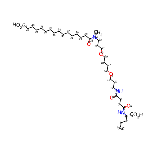 CC(=O)CC[C@H](NC(=O)CCC(=O)NCCCOCCCCOCCCN(C)C(=O)CCCCCCCCCCCCCCC(=O)O)C(=O)O